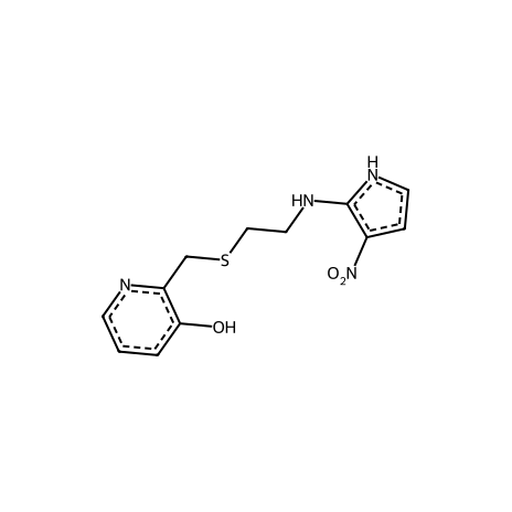 O=[N+]([O-])c1cc[nH]c1NCCSCc1ncccc1O